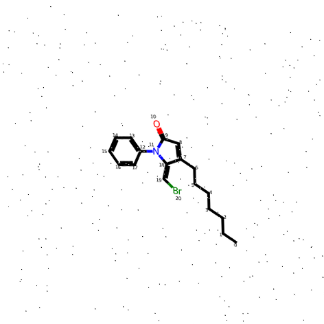 CCCCCCCC1=CC(=O)N(c2ccccc2)C1=CBr